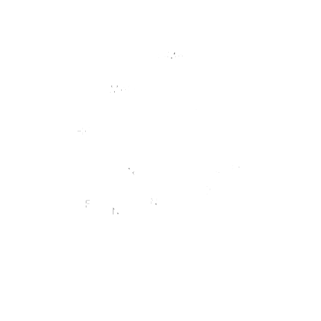 CCN(c1ncc(-c2c3c(cc4cc(OC)c(OC)cc24)COC3=O)cn1)C1CCCC1.Cl